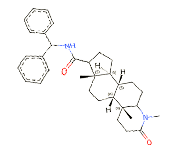 CN1C(=O)CC[C@@]2(C)C1CC[C@@H]1[C@H]2CC[C@]2(C)C(C(=O)NC(c3ccccc3)c3ccccc3)CC[C@@H]12